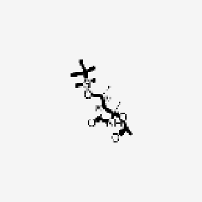 CC(=O)O[C@@]1(C)NC(=O)[C@@H]1[C@@H](C)O[Si](C)(C)C(C)(C)C